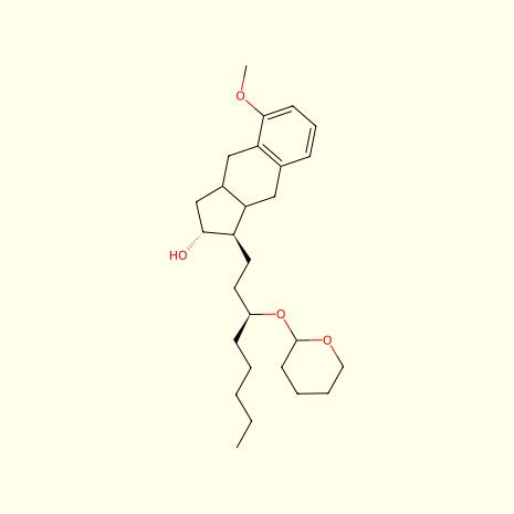 CCCCC[C@@H](CC[C@@H]1C2Cc3cccc(OC)c3CC2C[C@H]1O)OC1CCCCO1